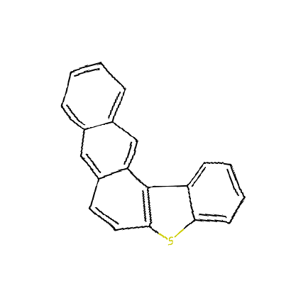 c1ccc2cc3c(ccc4sc5ccccc5c43)cc2c1